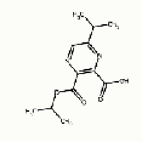 CC(C)OC(=O)c1ncc(C(C)C)nc1C(=O)O